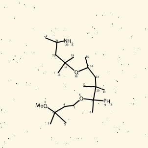 COC(C)(C)CCOC(C)(P)C(C)(C)CC(C)OC(C)(C)CC(C)N